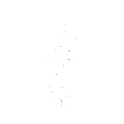 CCCCN(CCCC)C(=O)c1cc(C(C)C)c(OC(=O)c2cc(C(C)C)c(O)c(C(C)C)c2)c(C(C)C)c1